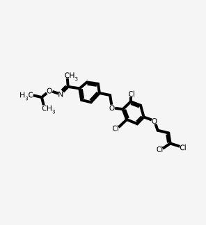 CC(=NOC(C)C)c1ccc(COc2c(Cl)cc(OCC=C(Cl)Cl)cc2Cl)cc1